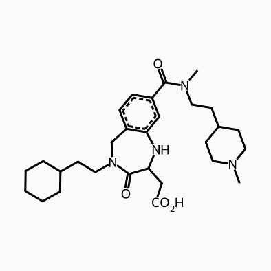 CN1CCC(CCN(C)C(=O)c2ccc3c(c2)NC(CC(=O)O)C(=O)N(CCC2CCCCC2)C3)CC1